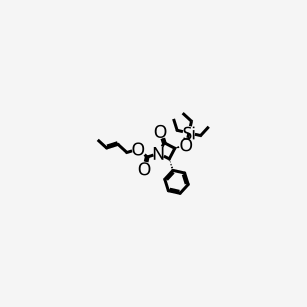 C/C=C/COC(=O)N1C(=O)[C@H](O[Si](CC)(CC)CC)[C@@H]1c1ccccc1